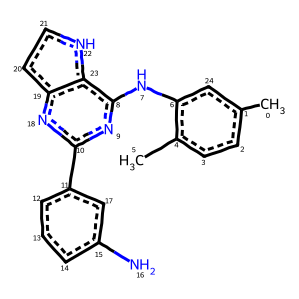 Cc1ccc(C)c(Nc2nc(-c3cccc(N)c3)nc3cc[nH]c23)c1